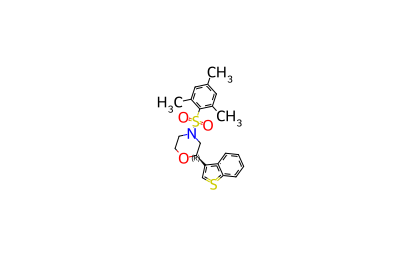 Cc1cc(C)c(S(=O)(=O)N2CCO[C@H](c3csc4ccccc34)C2)c(C)c1